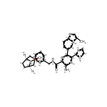 Cc1cnc2ccc(-c3nc(C(=O)NCc4cccc(N5[C@@H]6CC[C@H]5CN(C)C6)n4)c(N)nc3-c3ncco3)cn12